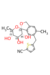 Cc1cc2c(cc1Cc1ccc(C#N)s1)[C@]1(OC2)O[C@H](C)[C@@H](O)[C@H](O)[C@H]1O